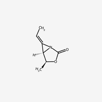 C/C=C1/[C@@H]2[C@H](C)OC(=O)N12